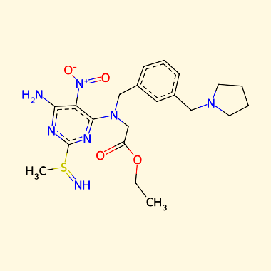 CCOC(=O)CN(Cc1cccc(CN2CCCC2)c1)c1nc(S(C)=N)nc(N)c1[N+](=O)[O-]